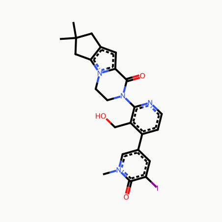 Cn1cc(-c2ccnc(N3CCn4c(cc5c4CC(C)(C)C5)C3=O)c2CO)cc(I)c1=O